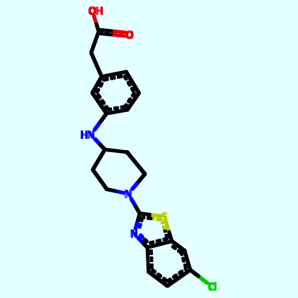 O=C(O)Cc1cccc(NC2CCN(c3nc4ccc(Cl)cc4s3)CC2)c1